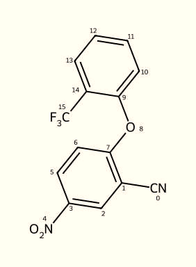 N#Cc1cc([N+](=O)[O-])ccc1Oc1ccccc1C(F)(F)F